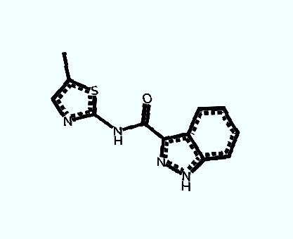 Cc1cnc(NC(=O)c2n[nH]c3ccccc23)s1